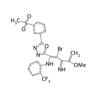 C=C(OC)C(=N)/C(Br)=C(\Nc1ccccc1C(F)(F)F)c1nnc(-c2cccc(S(C)(=O)=O)c2)o1